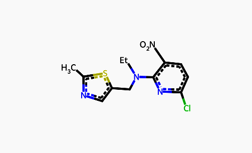 CCN(Cc1cnc(C)s1)c1nc(Cl)ccc1[N+](=O)[O-]